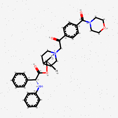 O=C(C[N+]12CCC(CC1)[C@@H](OC(=O)[C@H](Nc1ccccc1)c1ccccc1)C2)c1ccc(C(=O)N2CCOCC2)cc1